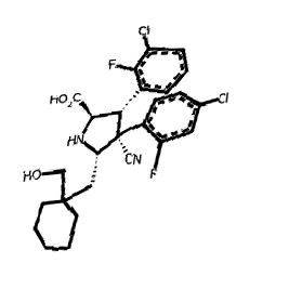 N#C[C@]1(c2ccc(Cl)cc2F)[C@H](CC2(CO)CCCCC2)N[C@@H](C(=O)O)[C@@H]1c1cccc(Cl)c1F